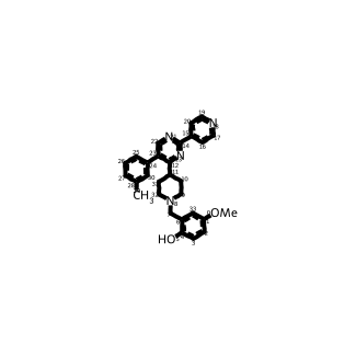 COc1ccc(O)c(CN2CCC(c3nc(-c4ccncc4)ncc3-c3cccc(C)c3)CC2)c1